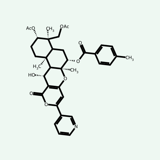 CC(=O)OC[C@@]1(C)C2C[C@H](OC(=O)c3ccc(C)cc3)[C@@]3(C)Oc4cc(-c5cccnc5)oc(=O)c4[C@H](O)C3[C@@]2(C)CC[C@@H]1OC(C)=O